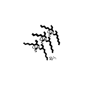 CCCCCCC(CC)CN(CC(CC)CCCCCC)C([O-])=S.CCCCCCC(CC)CN(CC(CC)CCCCCC)C([O-])=S.CCCCCCC(CC)CN(CC(CC)CCCCCC)C([O-])=S.[Sb+3]